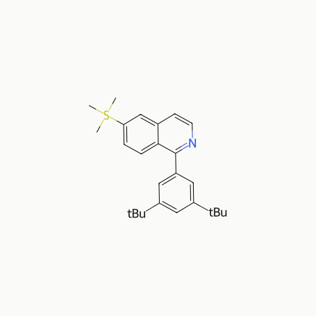 CC(C)(C)c1cc(-c2nccc3cc(S(C)(C)C)ccc23)cc(C(C)(C)C)c1